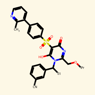 CCC(c1cccc(C#N)c1)n1c(COC(C)C)nc(=O)c(S(=O)(=O)c2ccc(-c3cccnc3C)cc2)c1O